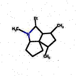 CCC1C2C(C)CC(C)C23CCCC3N1C